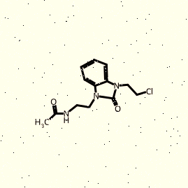 CC(=O)NCCn1c(=O)n(CCCl)c2ccccc21